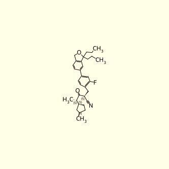 CCCC1(CCC)OCc2ccc(-c3ccc(C[C@@H](C#N)C(=O)[C@@H](C)[C@H]4CC[C@@H](C)C4)c(F)c3)cc21